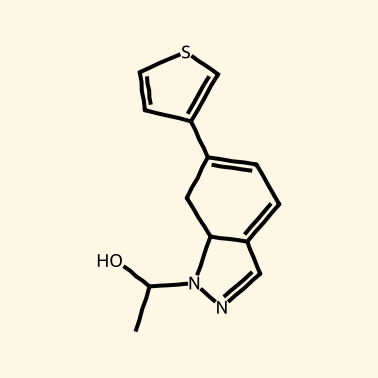 CC(O)N1N=CC2=CC=C(c3ccsc3)CC21